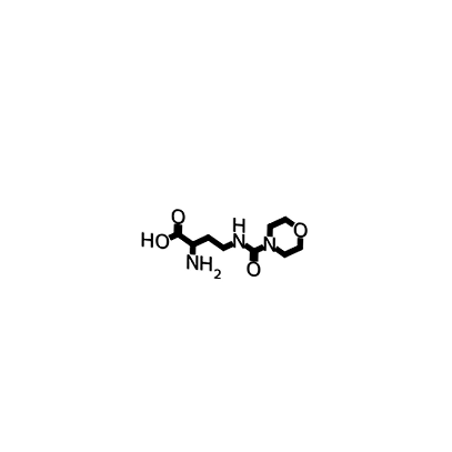 NC(CCNC(=O)N1CCOCC1)C(=O)O